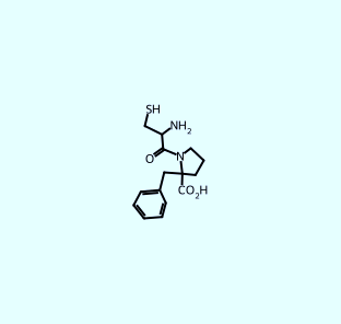 NC(CS)C(=O)N1CCCC1(Cc1ccccc1)C(=O)O